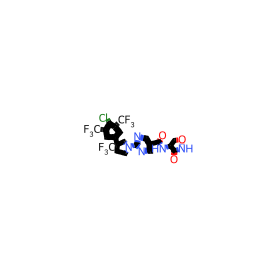 O=C(NC1CONC1=O)c1cnc(N2CCC(c3cc(C(F)(F)F)c(Cl)c(C(F)(F)F)c3)(C(F)(F)F)C2)nc1